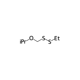 CCSSCOC(C)C